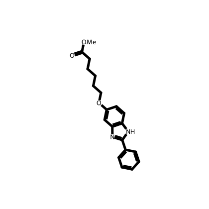 COC(=O)CCCCCOc1ccc2[nH]c(-c3ccccc3)nc2c1